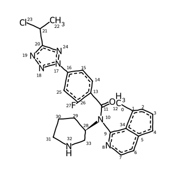 Cc1cccc2ccnc(N(C(=O)c3ccc(-n4nnc(C(C)Cl)n4)cc3F)[C@@H]3CCCNC3)c12